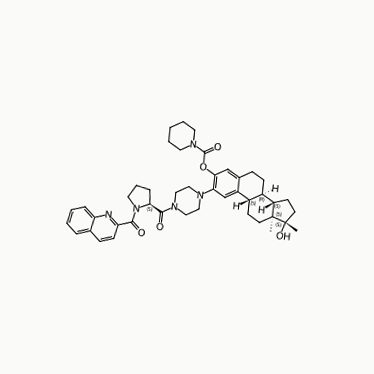 C[C@]1(O)CC[C@H]2[C@@H]3CCc4cc(OC(=O)N5CCCCC5)c(N5CCN(C(=O)[C@@H]6CCCN6C(=O)c6ccc7ccccc7n6)CC5)cc4[C@H]3CC[C@@]21C